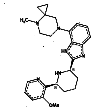 COc1cccnc1[C@@H]1CCC[C@H](c2nc3cccc(N4CCN(C)C5(CC5)C4)c3[nH]2)N1